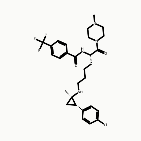 CN1CCN(C(=O)[C@H](CCCCN[C@]2(C)C[C@H]2c2ccc(Cl)cc2)NC(=O)c2ccc(C(F)(F)F)cc2)CC1